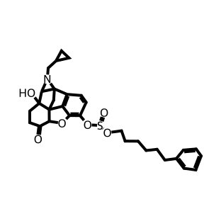 O=C1CCC2(O)C3N(CC4CC4)C34CC23c2c4ccc(OS(=O)OCCCCCCc4ccccc4)c2OC13